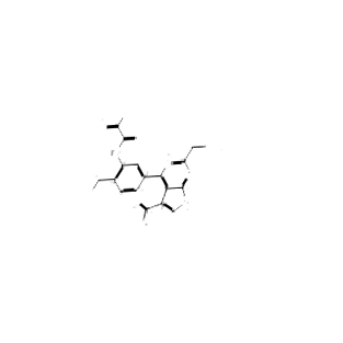 C=C(C)C(=O)Nc1cc(-c2nc(CC)nc3[nH]cc(C(=O)O)c23)ccc1CO